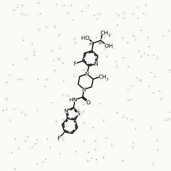 CC1CN(C(=O)Nc2nc3cc(F)ccc3s2)CCN1c1ncc([C@@H](O)[C@@H](C)O)cc1F